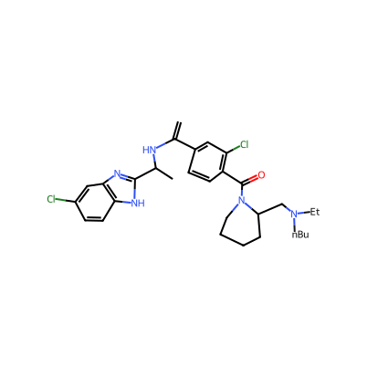 C=C(NC(C)c1nc2cc(Cl)ccc2[nH]1)c1ccc(C(=O)N2CCCCC2CN(CC)CCCC)c(Cl)c1